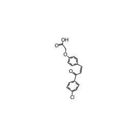 O=C(O)COc1ccc(/C=C\C(=O)c2ccc(Cl)cc2)cc1